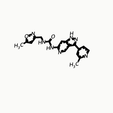 Cc1cc(-c2n[nH]c3cc(NC(=O)NCc4cc(C)on4)ncc23)ccn1